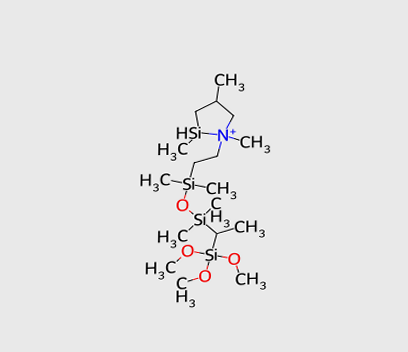 CO[Si](OC)(OC)C(C)[Si](C)(C)O[Si](C)(C)CC[N+]1(C)CC(C)C[SiH]1C